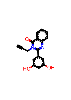 C#CCn1c(-c2cc(O)cc(O)c2)nc2ccccc2c1=O